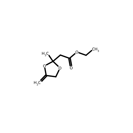 C=C1COC(C)(CC(=O)OCC)O1